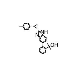 Cc1ccc([C@@H]2C[C@@H]2c2nc3cc(-c4ccccc4C(C)(C)O)ccc3[nH]2)cc1